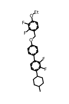 CCOc1ccc(COc2ccc(-c3ccc(C4CCC(C)CC4)c(F)c3F)cc2)c(F)c1F